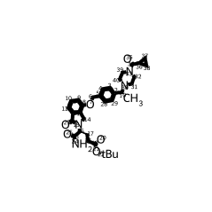 C[C@H](c1ccc(COc2cccc3c2CN([C@@H](CCC(=O)OC(C)(C)C)C(N)=O)C3=O)cc1)N1CCN(C(=O)C2CC2)CC1